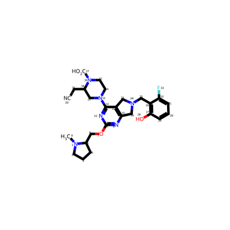 CN1CCCC1COc1nc2c(c(N3CCN(C(=O)O)C(CC#N)C3)n1)CN(Cc1c(O)cccc1F)C2